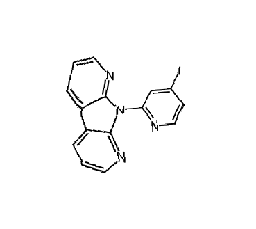 Ic1ccnc(-n2c3ncccc3c3cccnc32)c1